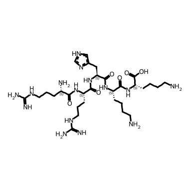 N=C(N)NCCC[C@H](NC(=O)[C@@H](N)CCCNC(=N)N)C(=O)N[C@@H](Cc1c[nH]cn1)C(=O)N[C@@H](CCCCN)C(=O)N[C@@H](CCCCN)C(=O)O